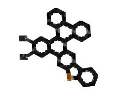 N#Cc1cc2c3cc4sc5ccccc5c4cc3c3c4ccccc4c4ccccc4c3c2cc1C#N